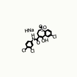 O=C(Nc1ccc(Cl)c(Cl)c1)C1=C(O)c2cc(Cl)ccc2S(=O)(=O)CC1.[NaH]